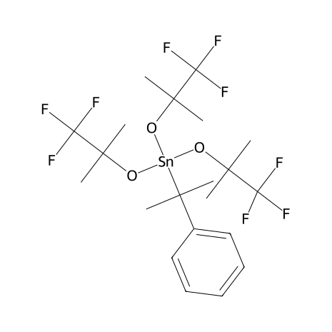 CC(C)([O][Sn]([O]C(C)(C)C(F)(F)F)([O]C(C)(C)C(F)(F)F)[C](C)(C)c1ccccc1)C(F)(F)F